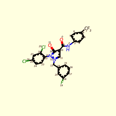 O=C(Nc1ccc(C(F)(F)F)cc1)c1cn(Cc2cccc(F)c2)n(-c2ccc(Cl)cc2Cl)c1=O